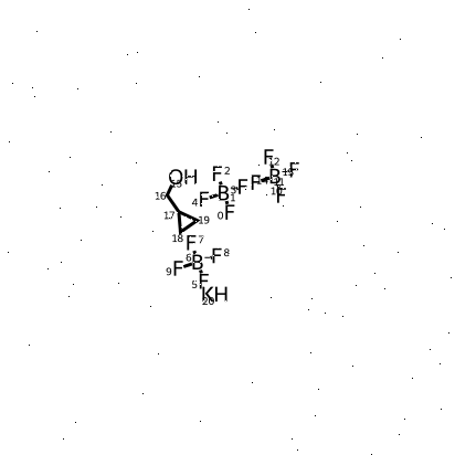 F[B-](F)(F)F.F[B-](F)(F)F.F[B-](F)(F)F.OCC1CC1.[KH]